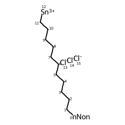 CCCCCCCCCCCCCCCCCCC[CH2][Sn+3].[Cl-].[Cl-].[Cl-]